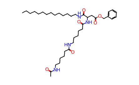 CCCCCCCCCCCCCCNC(=O)C(CC(=O)OCc1ccccc1)NC(=O)CCCCCNC(=O)CCCCCNC(C)=O